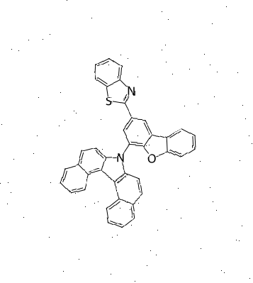 c1ccc2c(c1)ccc1c2c2c3ccccc3ccc2n1-c1cc(-c2nc3ccccc3s2)cc2c1oc1ccccc12